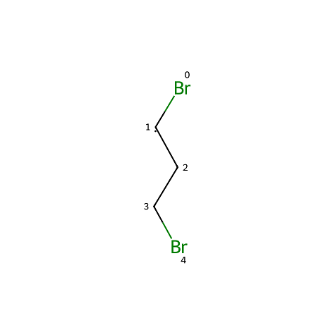 Br[CH]CCBr